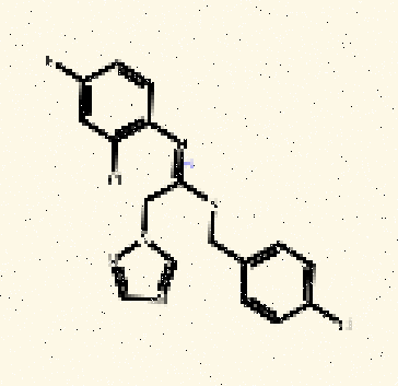 Fc1ccc(/N=C(\Cn2cncn2)SCc2ccc(Cl)cc2)c(Cl)c1